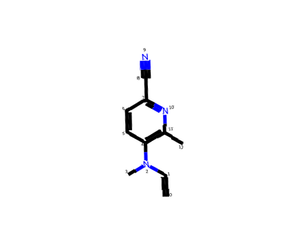 C=CN(C)c1ccc(C#N)nc1C